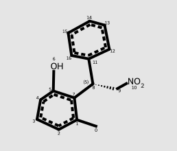 Cc1cccc(O)c1[C@@H](C[N+](=O)[O-])c1ccccc1